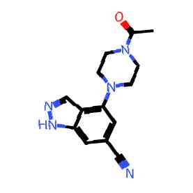 CC(=O)N1CCN(c2cc(C#N)cc3[nH]ncc23)CC1